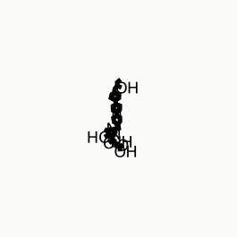 CCC(O)Cc1ccc(-c2ccc(N3CCC(Cc4nc(C)c(O)c(C(=O)NCC(=O)O)n4)CC3)cc2)cc1